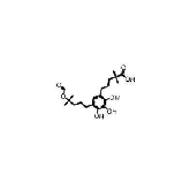 CC(C)(CCCc1cc(CCCC(C)(C)C(=O)O)c(O)c(O)c1O)OC=O